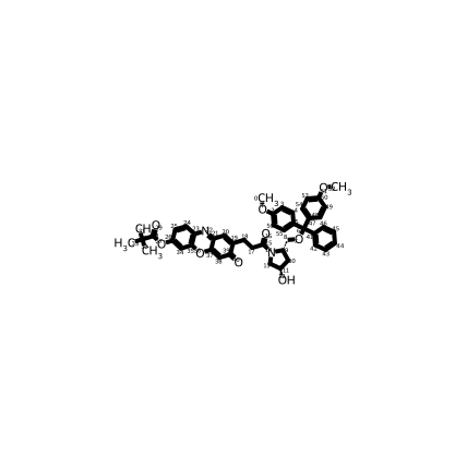 COc1ccc(C(OC[C@@H]2C[C@@H](O)CN2C(=O)CCc2cc3nc4ccc(OC(=O)C(C)(C)C)cc4oc-3cc2=O)(c2ccccc2)c2ccc(OC)cc2)cc1